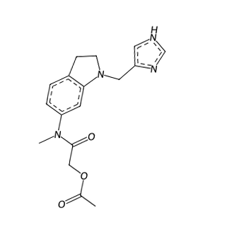 CC(=O)OCC(=O)N(C)c1ccc2c(c1)N(Cc1c[nH]cn1)CC2